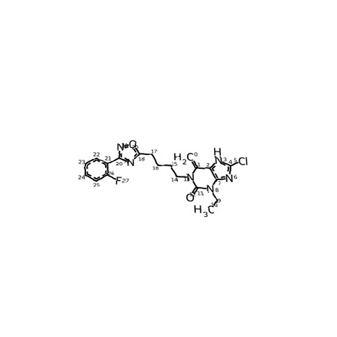 C=C1c2[nH]c(Cl)nc2N(CC)C(=O)N1CCCCc1nc(-c2ccccc2F)no1